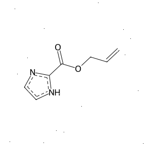 C=CCOC(=O)c1ncc[nH]1